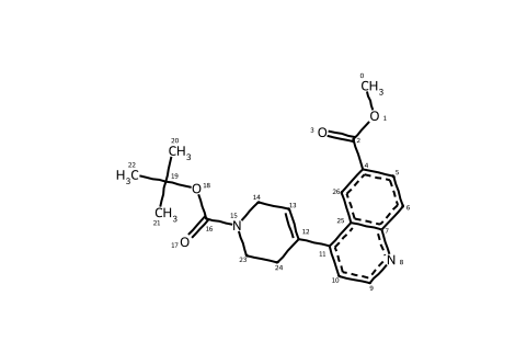 COC(=O)c1ccc2nccc(C3=CCN(C(=O)OC(C)(C)C)CC3)c2c1